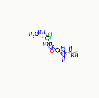 C[C@H](N)CCCc1cc(Cl)c(F)c(-c2cc3cn(-c4ccc([C@@H]5CNC[C@@H](CCNC(=N)CF)N5)cc4)c(=O)nc3[nH]2)c1